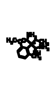 CC[N+](C(=N)N)(C(N)=O)c1c(C)cccc1OC